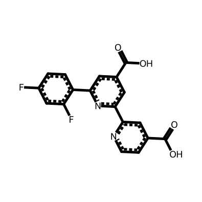 O=C(O)c1ccnc(-c2cc(C(=O)O)cc(-c3ccc(F)cc3F)n2)c1